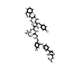 CCc1ccc(CNCC(=O)N[C@@H](CO[Si](C)(C)C(C)(C)C)C(=O)N(C)[C@H](Cc2ccc(Cl)cc2)CN(C)C(=O)[C@@H](CC(=O)O)[C@@H]2CCc3ccccc32)c(Oc2ccc(-c3cnc(CN(C)C)n3C)cc2)c1